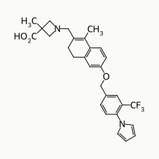 CC1=C(CN2CC(C)(C(=O)O)C2)CCc2cc(OCc3ccc(-n4cccc4)c(C(F)(F)F)c3)ccc21